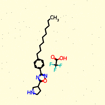 CCCCCCCCCCc1ccc(-c2noc(C3CCNC3)n2)cc1.O=C(O)C(F)(F)F